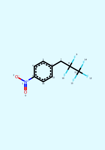 O=[N+]([O-])c1ccc(CC(F)(F)C(F)(F)F)cc1